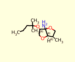 CCCC(C)(C)O[C@@H]1CO[C@@H]2[C@H](C)CO[C@@]21N